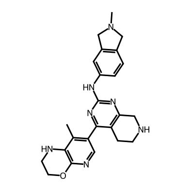 Cc1c(-c2nc(Nc3ccc4c(c3)CN(C)C4)nc3c2CCNC3)cnc2c1NCCO2